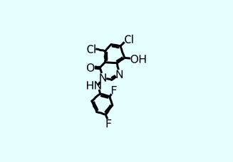 O=c1c2c(Cl)cc(Cl)c(O)c2ncn1Nc1ccc(F)cc1F